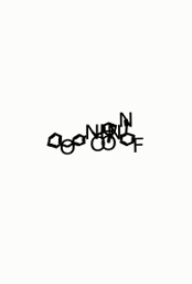 N#Cc1cc(F)ccc1-n1cccc(C(=O)Nc2ccc(Oc3ccccc3)cc2)c1=O